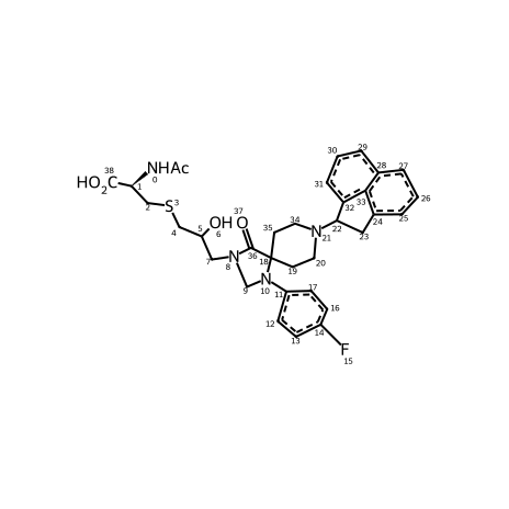 CC(=O)N[C@@H](CSCC(O)CN1CN(c2ccc(F)cc2)C2(CCN(C3Cc4cccc5cccc3c45)CC2)C1=O)C(=O)O